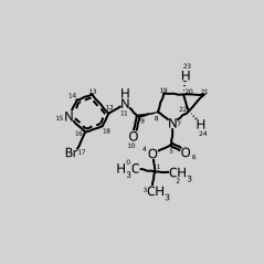 CC(C)(C)OC(=O)N1[C@@H](C(=O)Nc2ccnc(Br)c2)C[C@H]2C[C@H]21